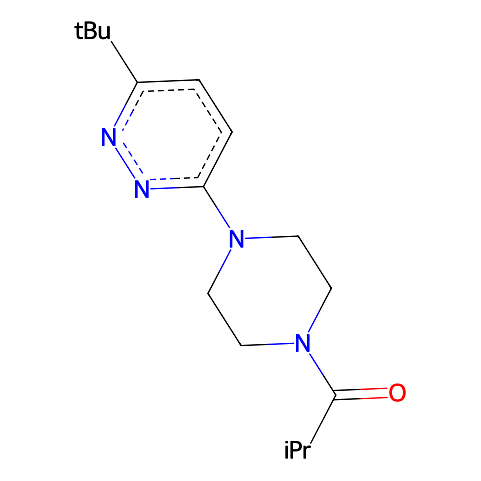 CC(C)C(=O)N1CCN(c2ccc(C(C)(C)C)nn2)CC1